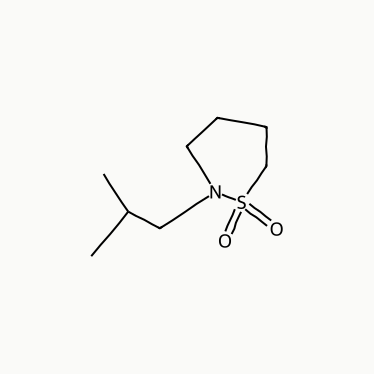 CC(C)CN1CCCCS1(=O)=O